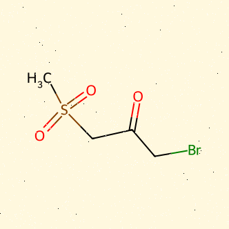 CS(=O)(=O)CC(=O)CBr